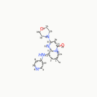 Cc1cc(Nc2ccncc2)c2nc(N3CCOCC3)cc(=O)n2c1